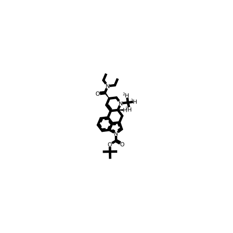 [2H]C([2H])([2H])N1C[C@H](C(=O)N(CC)CC)C=C2c3cccc4c3c(cn4C(=O)OC(C)(C)C)C[C@H]21